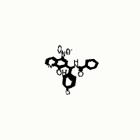 O=C(NC(c1ccc(Cl)cc1)c1cc([N+](=O)[O-])c2cccnc2c1O)C1CCCCC1